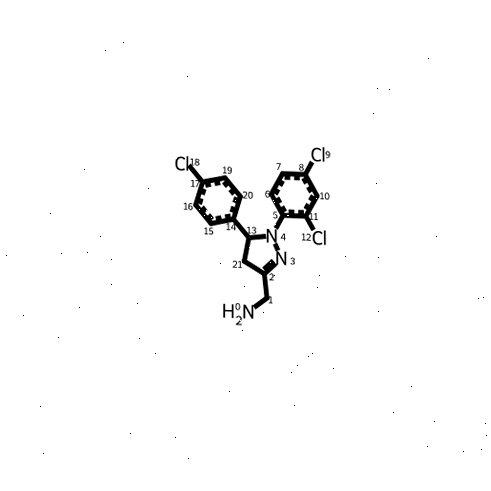 NCC1=NN(c2ccc(Cl)cc2Cl)C(c2ccc(Cl)cc2)C1